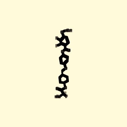 CCCCCCCCOc1ccc(C(=O)Oc2ccc(OC[C@H]3CC[C@H](OC(=O)[C@@H](F)CCCC)CC3)cc2)c(F)c1F